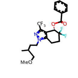 COCC(C)CCn1nc(C(F)(F)F)c2c1CCC(F)(F)[C@H]2OC(=O)c1ccccc1